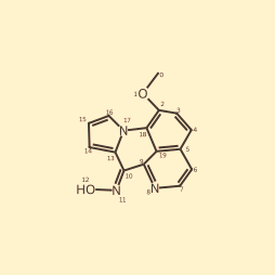 COc1ccc2ccnc3c(=NO)c4cccn4c1c23